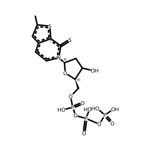 Cc1cc2ccn([C@H]3CC(O)[C@@H](COP(=O)(O)OP(=O)(O)OP(=O)(O)O)O3)c(=S)c2s1